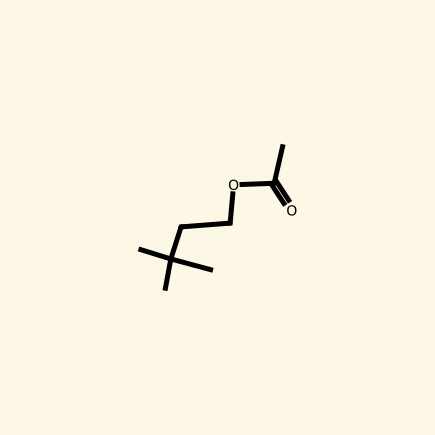 CC(=O)OCCC(C)(C)C